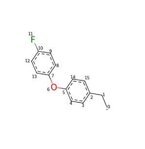 [CH2]Cc1ccc(Oc2ccc(F)cc2)cc1